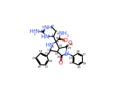 CCC(NC(=N)N)C1(C(N)=O)NC(c2ccccc2)C2C(=O)N(c3ccccc3)C(=O)C21